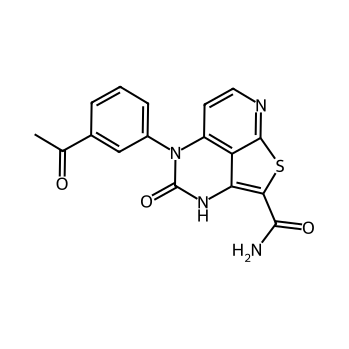 CC(=O)c1cccc(N2C(=O)Nc3c(C(N)=O)sc4nccc2c34)c1